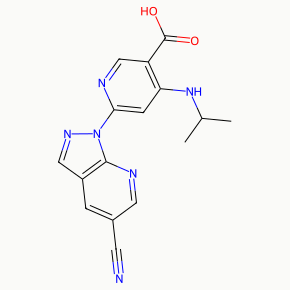 CC(C)Nc1cc(-n2ncc3cc(C#N)cnc32)ncc1C(=O)O